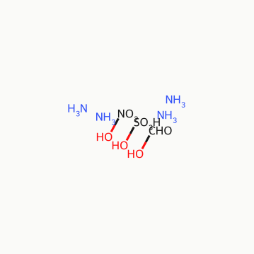 N.N.N.N.O=CO.O=S(=O)(O)O.O=[N+]([O-])O